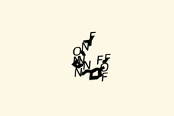 O=C(Cn1ncc2ncc(-c3ccc(F)c(OC(F)F)c3)nc21)N1CC(F)C1